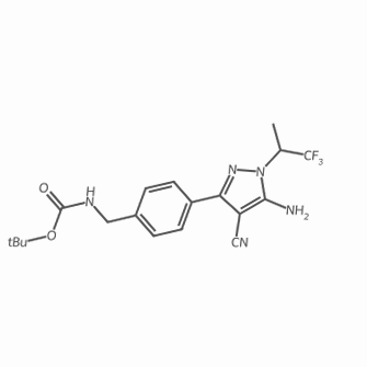 CC(n1nc(-c2ccc(CNC(=O)OC(C)(C)C)cc2)c(C#N)c1N)C(F)(F)F